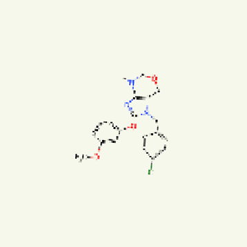 CN1COCc2c1nc(Oc1cccc(OC(F)(F)F)c1)n2Cc1ccc(Cl)cc1